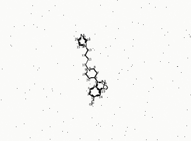 Fc1ccc2c(C3CCN(CCCCn4ccnc4)CC3)noc2c1